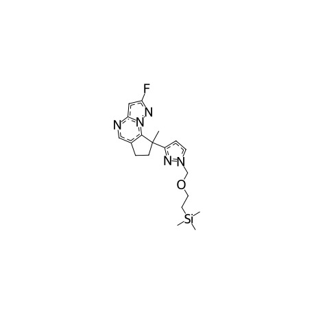 CC1(c2ccn(COCC[Si](C)(C)C)n2)CCc2cnc3cc(F)nn3c21